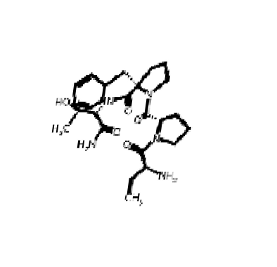 CC[C@H](N)C(=O)N1CCC[C@H]1C(=O)N1CCC[C@]1(CC1C=CC=CC1)C(=O)N[C@H](C(N)=O)[C@@H](C)O